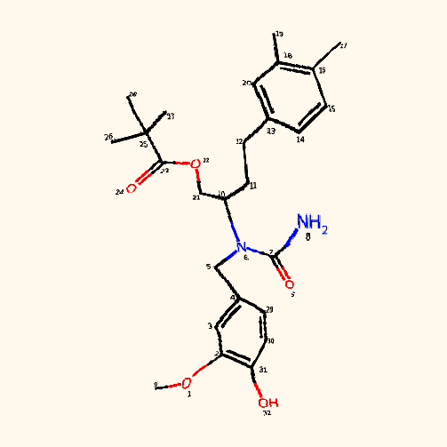 COc1cc(CN(C(N)=O)C(CCc2ccc(C)c(C)c2)COC(=O)C(C)(C)C)ccc1O